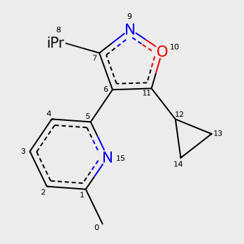 Cc1cccc(-c2c(C(C)C)noc2C2CC2)n1